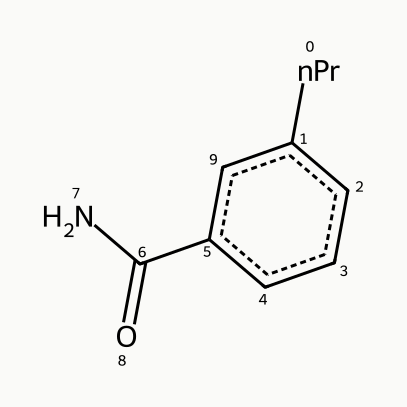 [CH2]CCc1cccc(C(N)=O)c1